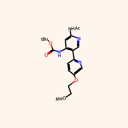 COCCOc1ccc(-c2cnc(NC(C)=O)cc2NC(=O)OC(C)(C)C)nc1